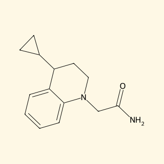 NC(=O)CN1CCC(C2CC2)c2ccccc21